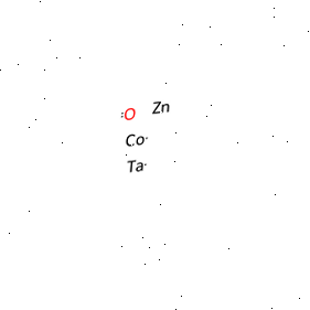 [Co].[O].[Ta].[Zn]